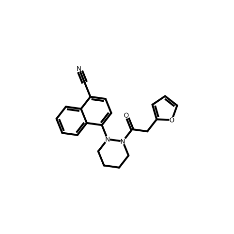 N#Cc1ccc(N2CCCCN2C(=O)Cc2ccco2)c2ccccc12